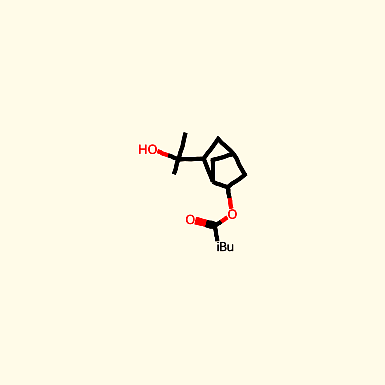 CCC(C)C(=O)OC1CC2CC1C(C(C)(C)O)C2